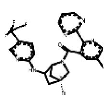 Cc1cnc(-c2ncccn2)c(C(=O)N2C[C@H]3CC(Nc4ccc(C(F)(F)F)cn4)C2C3)c1